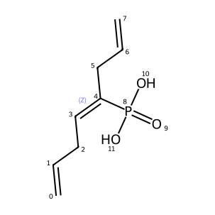 C=CC/C=C(/CC=C)P(=O)(O)O